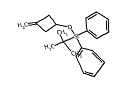 C=C1CC(O[Si](c2ccccc2)(c2ccccc2)C(C)(C)C)C1